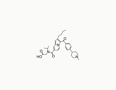 CCCCc1cc2cc(C(=O)N(CC(=O)O)C(C)C)ccn2c1C(=O)c1ccc(C2CCN(C)CC2)cc1